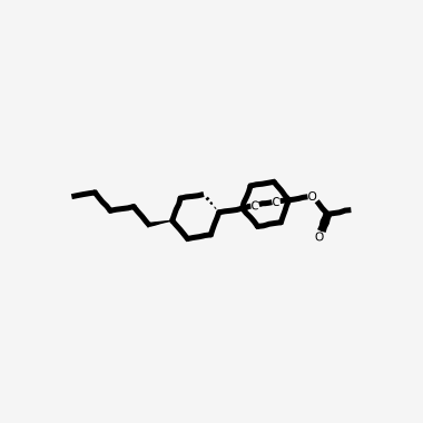 CCCCC[C@H]1CC[C@H](C23CCC(OC(C)=O)(CC2)CC3)CC1